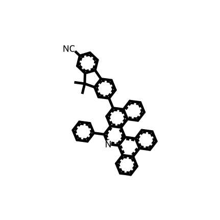 CC1(C)c2cc(C#N)ccc2-c2ccc(-c3cc4c(-c5ccccc5)nc5c6ccccc6c6ccccc6c5c4c4ccccc34)cc21